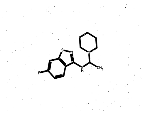 CC(Nc1nsc2cc(F)ccc12)N1CCCCC1